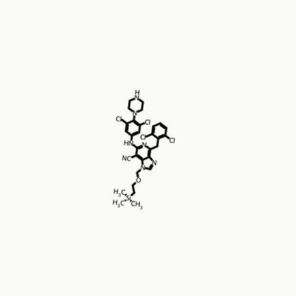 C[Si](C)(C)CCOCn1cnc2c(Cc3c(Cl)cccc3Cl)nc(Nc3cc(Cl)c(N4CCNCC4)c(Cl)c3)c(C#N)c21